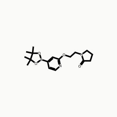 CC1(C)OB(c2ccnc(OCCN3CCCC3=O)c2)OC1(C)C